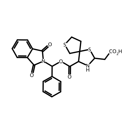 O=C(O)CC1NC(C(=O)OC(c2ccccc2)N2C(=O)c3ccccc3C2=O)C2(CCSC2)S1